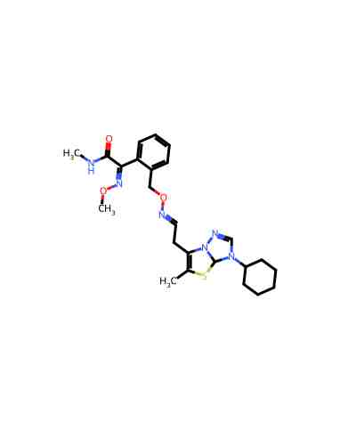 CNC(=O)C(=NOC)c1ccccc1CON=CCC1=C(C)SC2N1N=CN2C1CCCCC1